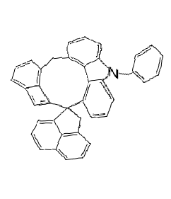 c1ccc(-n2c3cccc4c3c3c(cccc32)C2(Cc3cccc5cccc2c35)c2cccc3cccc(c23)C4)cc1